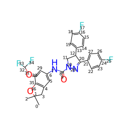 CC1(C)Cc2cc(NC(=O)N3CC(c4ccc(F)cc4)C(c4ccc(F)cc4)=N3)cc(OC(F)F)c2O1